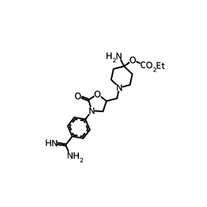 CCOC(=O)OC1(N)CCN(CC2CN(c3ccc(C(=N)N)cc3)C(=O)O2)CC1